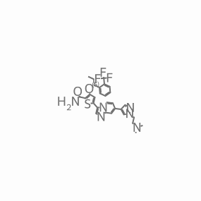 CC[C@H](Oc1cc(-c2cnc3cc(-c4cnn(CCN(C)C)c4)ccn23)sc1C(N)=O)c1ccccc1C(F)(F)F